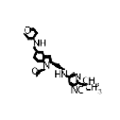 CC(C)(C#N)c1ccc(NCC#Cc2cc3cc(CNC4CCOCC4)ccc3n2CC2CO2)cn1